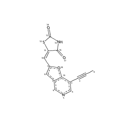 CC#Cc1cncc2cc(C=C3SC(=O)NC3=O)oc12